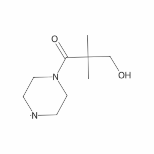 CC(C)(CO)C(=O)N1CC[N]CC1